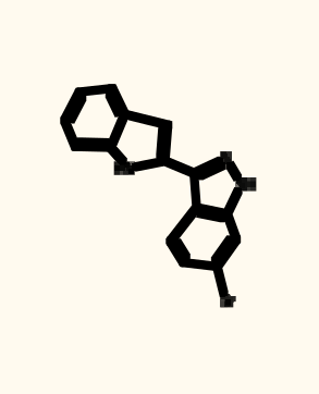 Brc1ccc2c(-c3cc4ccccc4[nH]3)n[nH]c2c1